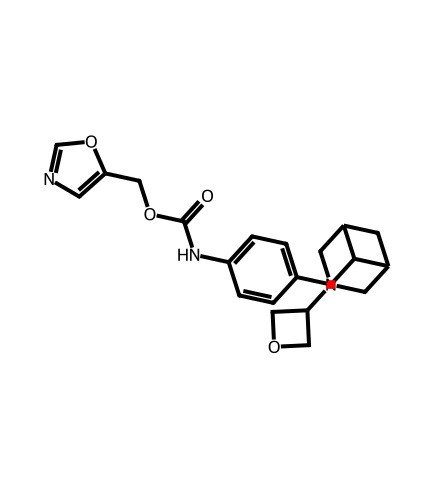 O=C(Nc1ccc(CC2C3CC2CN(C2COC2)C3)cc1)OCc1cnco1